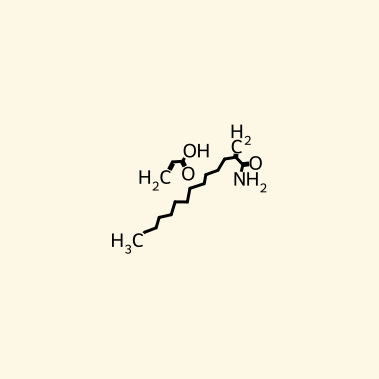 C=C(CCCCCCCCCCCC)C(N)=O.C=CC(=O)O